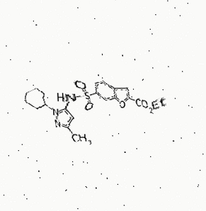 CCOC(=O)c1cc2ccc(S(=O)(=O)Nc3cc(C)nn3C3CCCCC3)cc2o1